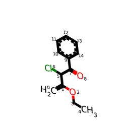 C=C(OCC)C(Cl)C(=O)c1ccccc1